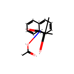 CC(=O)ON1C(=O)C=C2C=CC=C3C=CC=CC32C1=O